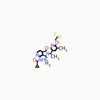 Cc1cc(C(C)N2C(=O)c3ccnc(NC(=O)C4CC4)c3C2C)cnc1OCC(F)F